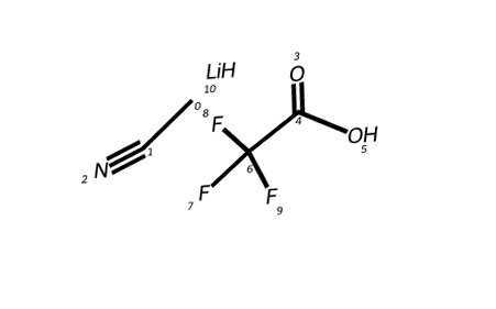 CC#N.O=C(O)C(F)(F)F.[LiH]